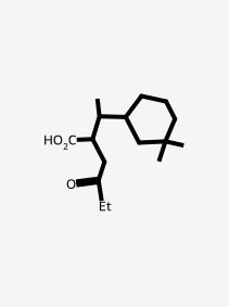 CCC(=O)CC(C(=O)O)C(C)C1CCCC(C)(C)C1